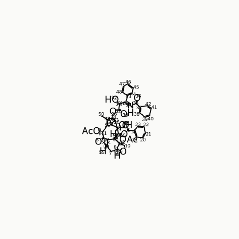 CC(=O)O[C@H]1C(=O)[C@]23C[C@H]2C[C@H]2OC[C@@]2(OC(C)=O)[C@H]3[C@H](OC(=O)c2ccccc2)[C@]2(O)C[C@H](OC(=O)[C@H](O)[C@@H](NC(=O)c3ccccc3)c3ccccc3)C(C)=C1C2(C)C